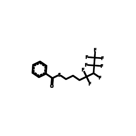 O=C(SCCCC(F)(F)C(F)C(F)(F)C(F)(F)F)c1ccccc1